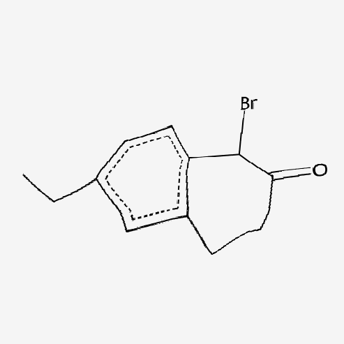 CCc1ccc2c(c1)CCC(=O)C2Br